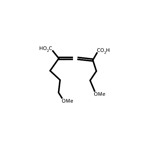 C=C(CCCOC)C(=O)O.C=C(CCOC)C(=O)O